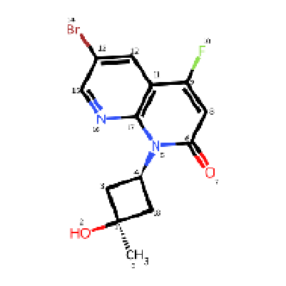 C[C@]1(O)C[C@@H](n2c(=O)cc(F)c3cc(Br)cnc32)C1